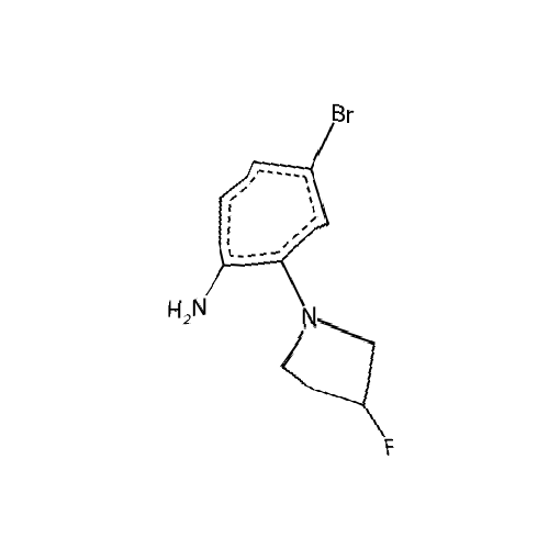 Nc1ccc(Br)cc1N1CC(F)C1